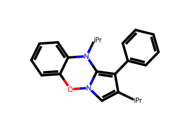 CC(C)c1cn2c(c1-c1ccccc1)N(C(C)C)c1ccccc1O2